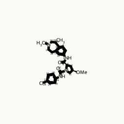 CO[C@@H]1C[C@H](C(=O)Nc2ccc3c(c2)CCN(C)C[C@H]3C)N(C(=O)Nc2ccc(Cl)cc2)C1